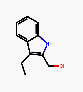 CCc1c(CO)[nH]c2ccccc12